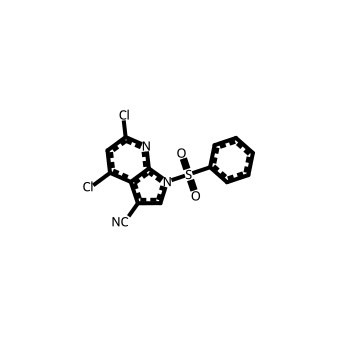 N#Cc1cn(S(=O)(=O)c2ccccc2)c2nc(Cl)cc(Cl)c12